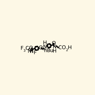 CCCC[C@@H](COc1ccc(-c2nnc(C(F)(F)F)o2)c(F)c1)Nc1ccc(C(=O)NCCC(=O)O)cc1